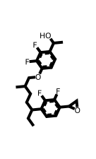 CCC(CCC(C)COc1ccc(C(C)O)c(F)c1F)c1ccc(C2CO2)c(F)c1F